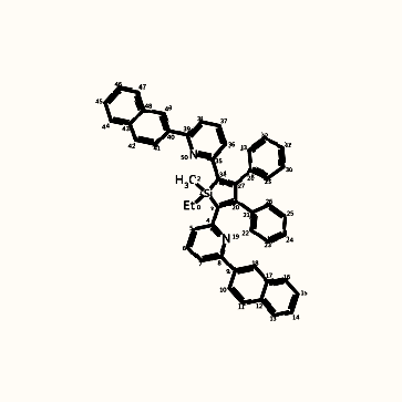 CC[Si]1(C)C(c2cccc(-c3ccc4ccccc4c3)n2)=C(c2ccccc2)C(c2ccccc2)=C1c1cccc(-c2ccc3ccccc3c2)n1